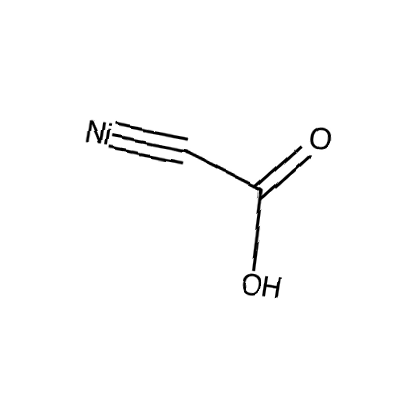 O=C(O)[C]#[Ni]